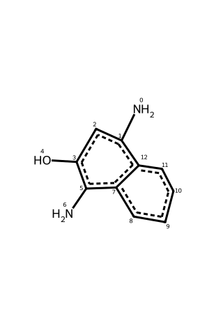 Nc1cc(O)c(N)c2ccccc12